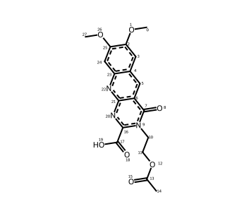 COc1cc2cc3c(=O)n(CCOC(C)=O)c(C(=O)O)nc3nc2cc1OC